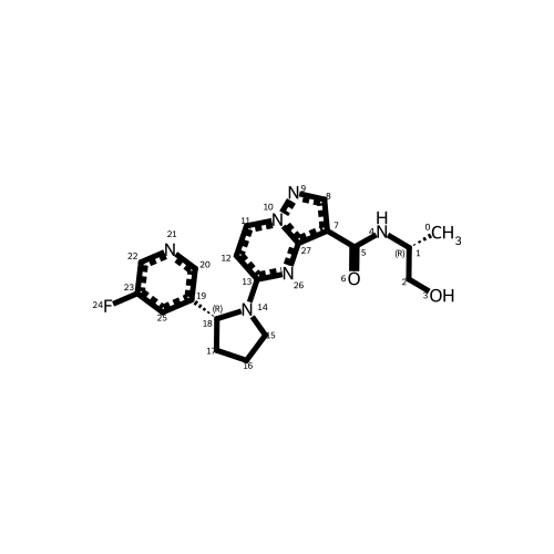 C[C@H](CO)NC(=O)c1cnn2ccc(N3CCC[C@@H]3c3cncc(F)c3)nc12